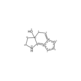 OC12CC=c3occc3=C1NCC2